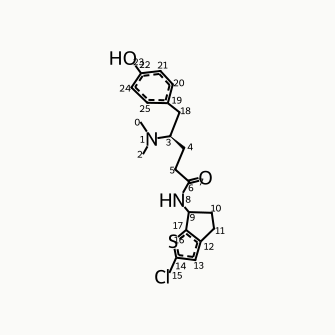 CN(C)[C@H](CCC(=O)NC1CCc2cc(Cl)sc21)Cc1ccc(O)cc1